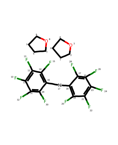 C1CCOC1.C1CCOC1.Fc1c(F)c(F)[c]([Ni][c]2c(F)c(F)c(F)c(F)c2F)c(F)c1F